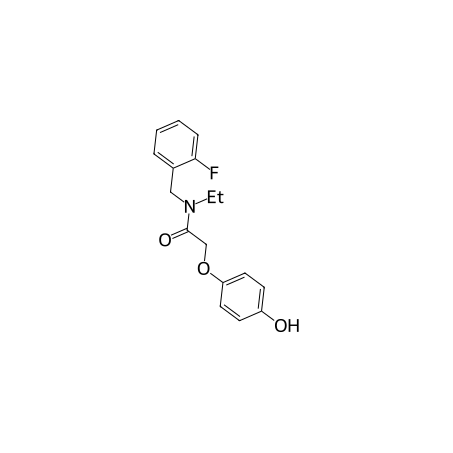 CCN(Cc1ccccc1F)C(=O)COc1ccc(O)cc1